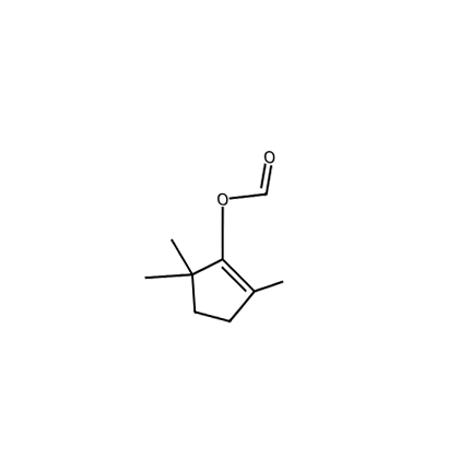 CC1=C(OC=O)C(C)(C)CC1